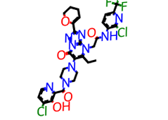 CCc1c(N2CCN(C(=O)c3nccc(Cl)c3O)CC2)c(=O)n2nc(C3=CCCCO3)nc2n1CC(=O)Nc1ccc(C(F)(F)F)nc1Cl